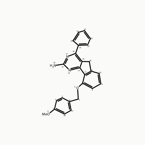 COc1ccc(COc2cccc3c2-c2nc(N)nc(-c4ccccc4)c2C3)cc1